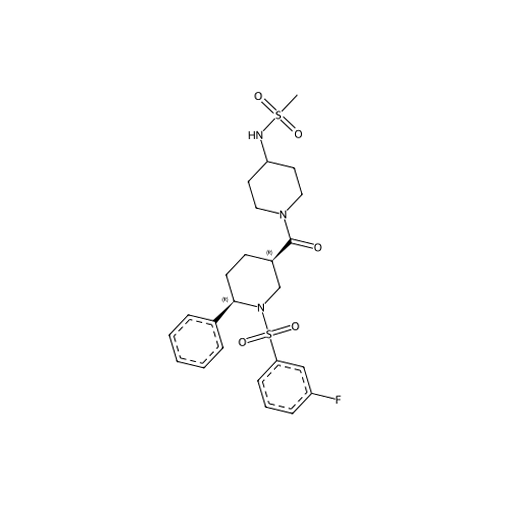 CS(=O)(=O)NC1CCN(C(=O)[C@@H]2CC[C@H](c3ccccc3)N(S(=O)(=O)c3cccc(F)c3)C2)CC1